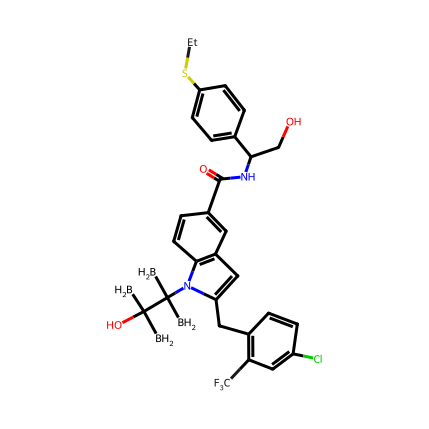 BC(B)(O)C(B)(B)n1c(Cc2ccc(Cl)cc2C(F)(F)F)cc2cc(C(=O)NC(CO)c3ccc(SCC)cc3)ccc21